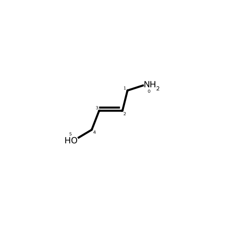 NCC=CCO